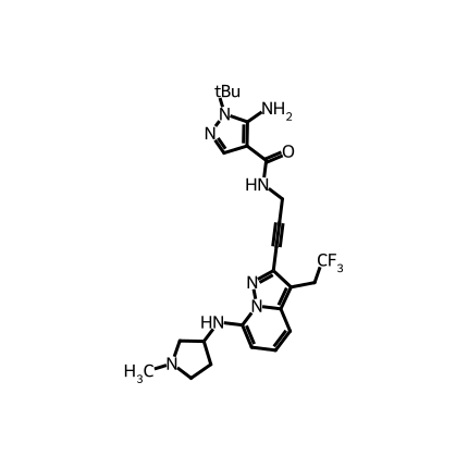 CN1CCC(Nc2cccc3c(CC(F)(F)F)c(C#CCNC(=O)c4cnn(C(C)(C)C)c4N)nn23)C1